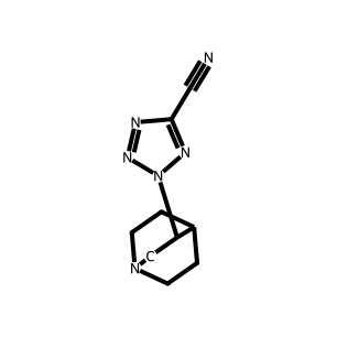 N#Cc1nnn(C2CN3CCC2CC3)n1